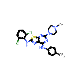 CC(C)N1CCN(c2nc(Nc3ccc(C(F)(F)F)cc3)c3nc(Nc4c(Cl)cccc4Cl)sc3n2)CC1